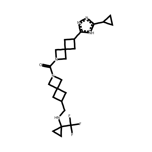 O=C(N1CC2(CC(CNC3(C(F)(F)F)CC3)C2)C1)N1CC2(CC(c3nnc(C4CC4)[nH]3)C2)C1